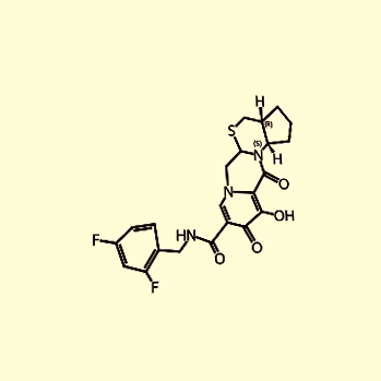 O=C(NCc1ccc(F)cc1F)c1cn2c(c(O)c1=O)C(=O)N1C(C2)SC[C@@H]2CCC[C@@H]21